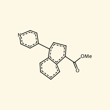 COC(=O)c1ccc(-c2ccncc2)c2ccccc12